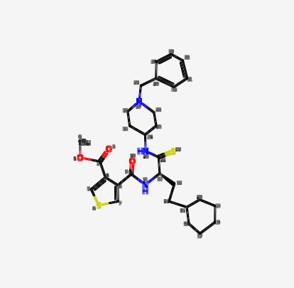 CC(C)(C)OC(=O)c1cscc1C(=O)N[C@H](CCC1CCCCC1)C(=S)NC1CCN(Cc2ccccc2)CC1